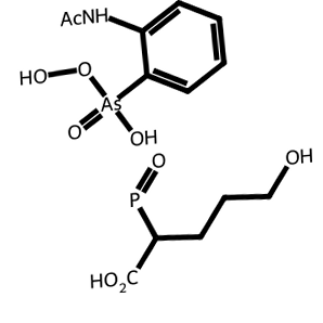 CC(=O)Nc1ccccc1[As](=O)(O)OO.O=PC(CCCO)C(=O)O